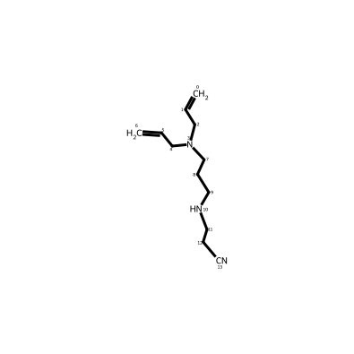 C=CCN(CC=C)CCCNCCC#N